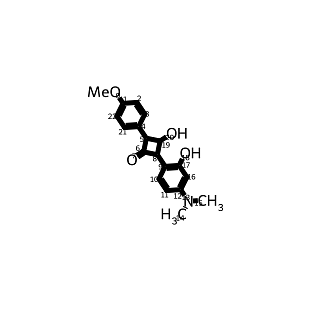 COc1ccc(C2C(=O)C(c3ccc(N(C)C)cc3O)C2O)cc1